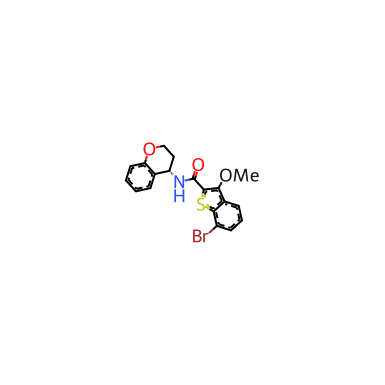 COc1c(C(=O)N[C@H]2CCOc3ccccc32)sc2c(Br)cccc12